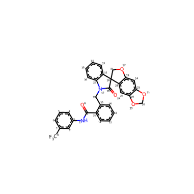 O=C(Nc1cccc(C(F)(F)F)c1)c1ccccc1CN1C(=O)C2(COc3cc4c(cc32)OCO4)c2ccccc21